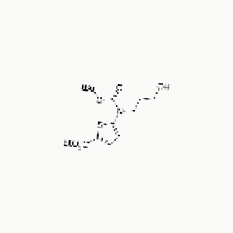 CCOC(=O)c1ccc(N(CCCO)C(=O)OC(C)(C)C)s1